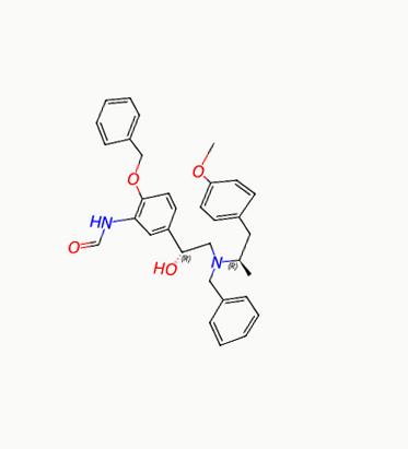 COc1ccc(C[C@@H](C)N(Cc2ccccc2)C[C@H](O)c2ccc(OCc3ccccc3)c(NC=O)c2)cc1